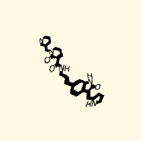 O=C1Nc2cc(C=CCNC(=O)c3cccn(Cc4cccnc4)c3=O)ccc2C1=Cc1ccc[nH]1